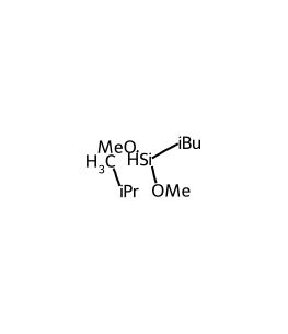 CC(C)C.CCC(C)[SiH](OC)OC